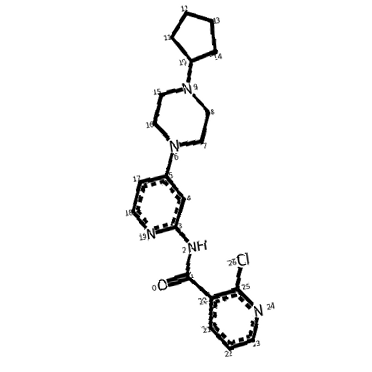 O=C(Nc1cc(N2CCN(C3CCCC3)CC2)ccn1)c1cccnc1Cl